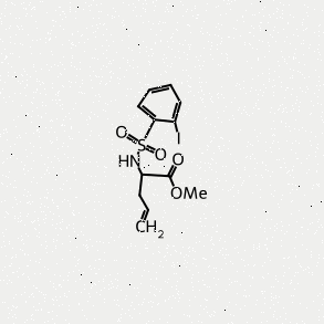 C=CCC(NS(=O)(=O)c1ccccc1I)C(=O)OC